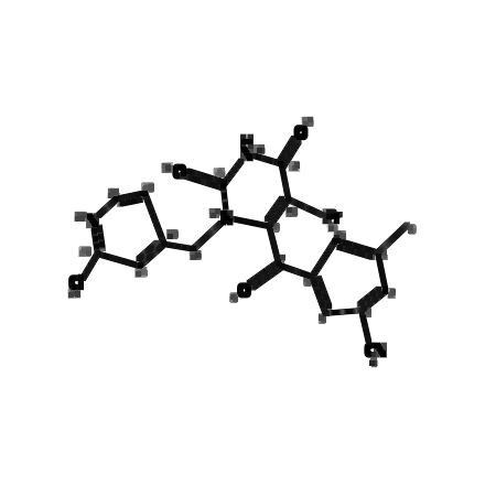 Cc1cc(C#N)cc(C(=O)c2c(C(C)C)c(=O)[nH]c(=O)n2Cc2ccnc(Cl)c2)c1